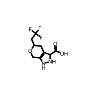 O=C(O)C1NNC2=C1CC(CC(F)(F)F)OC2